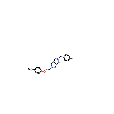 N#Cc1ccc(OCCN2CC3CN(Cc4ccc(F)cc4)CC3C2)cc1